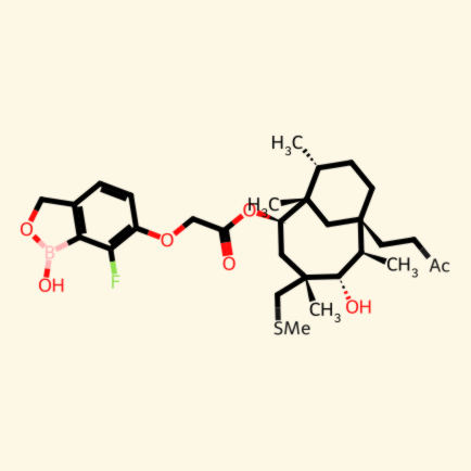 CSC[C@]1(C)C[C@@H](OC(=O)COc2ccc3c(c2F)B(O)OC3)[C@@]2(C)C[C@](CCC(C)=O)(CC[C@H]2C)[C@@H](C)[C@@H]1O